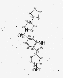 CCCN1CCC(c2c[nH]c3cc(C(=O)N4CCN(C5CCCC5)CC4)ccc23)CC1